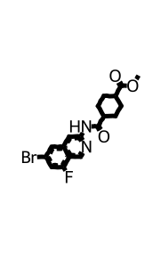 COC(=O)C1CCC(C(=O)Nc2cc3cc(Br)cc(F)c3cn2)CC1